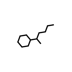 CCCCC(C)C1CCCCC1